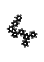 c1ccc(-c2ccc(-c3cccc4c3Cc3c(-c5cccc(-c6nc(-c7ccccc7)nc(-c7ccccc7)n6)c5)cccc3-4)cc2)cc1